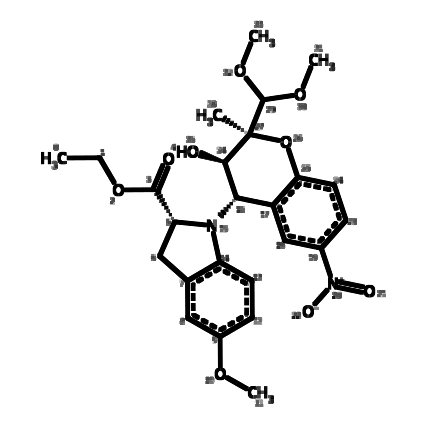 CCOC(=O)[C@H]1Cc2cc(OC)ccc2N1[C@H]1c2cc([N+](=O)[O-])ccc2O[C@](C)(C(OC)OC)[C@@H]1O